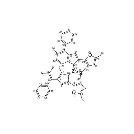 Cc1ccc(C2=Cc3c(ccc(C)c3-c3ccccc3)[CH]2[Zr]([CH]2C(c3ccc(C)o3)=Cc3c2ccc(C)c3-c2ccccc2)=[Si](C)C)o1